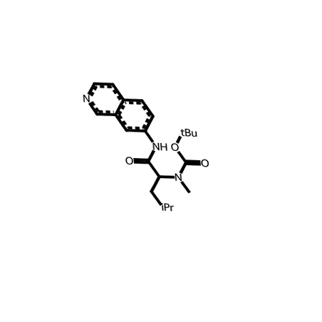 CC(C)CC(C(=O)Nc1ccc2ccncc2c1)N(C)C(=O)OC(C)(C)C